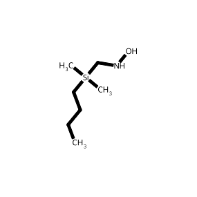 CCCC[Si](C)(C)CNO